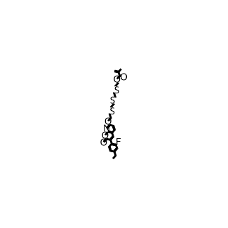 C=C(C)C(=O)OCCSCCSCCSCCOc1ccc2cc(-c3ccc(CC)cc3F)c(=O)oc2n1